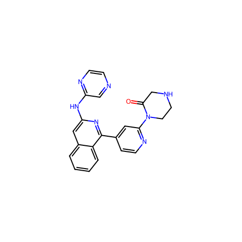 O=C1CNCCN1c1cc(-c2nc(Nc3cnccn3)cc3ccccc23)ccn1